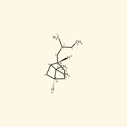 CCN(C)C[C@@H]1CC[C@H]2CC1C2(C)C